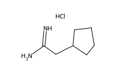 Cl.N=C(N)CC1CCCC1